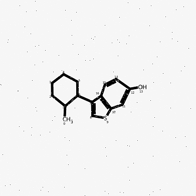 CC1CCCCC1c1csc2cc(O)ccc12